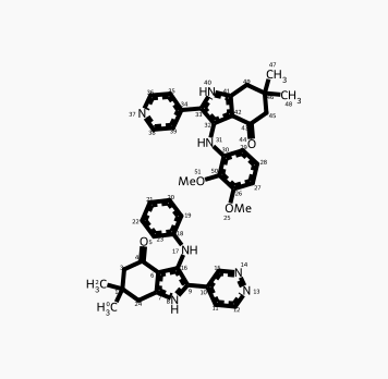 CC1(C)CC(=O)c2c([nH]c(-c3ccnnc3)c2Nc2ccccc2)C1.COc1cccc(Nc2c(-c3ccncc3)[nH]c3c2C(=O)CC(C)(C)C3)c1OC